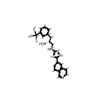 N[C@@H](CNc1nnc(-c2ccc3cnccc3c2)s1)Cc1cccc(C(F)(F)F)c1